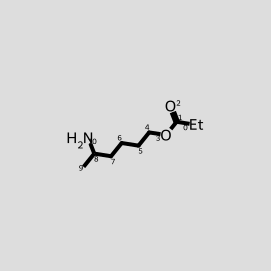 CCC(=O)OCCCCC(C)N